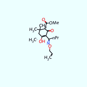 C=CCO/N=C(\CCC)C1=C(O)CC(C)(C)C(C(=O)OC)C1=O.[CH3]